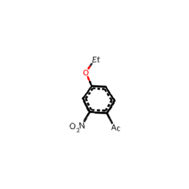 CCOc1ccc(C(C)=O)c([N+](=O)[O-])c1